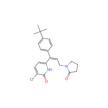 CC(C)(C)c1ccc(/C(=C/CN2CCCC2=O)c2ccc(Cl)c(=O)[nH]2)cc1